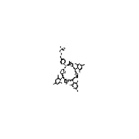 CC(=O)SCCc1ccc(-c2c3nc(c(-c4c(C)cc(C)cc4C)c4ccc([nH]4)c(-c4c(C)cc(C)cc4C)c4nc(c(-c5c(C)cc(C)cc5C)c5ccc2[nH]5)C=C4)C=C3)cc1